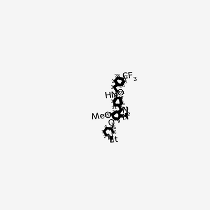 CCN1CCC[C@@H](COc2cc3ncnc(-c4ccc(NC(=O)Cc5ccc(C(F)(F)F)cc5)cc4)c3cc2OC)C1